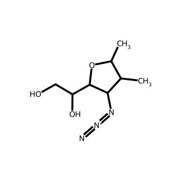 CC1OC(C(O)CO)C(N=[N+]=[N-])C1C